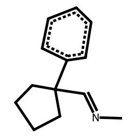 CN=CC1(c2ccccc2)CCCC1